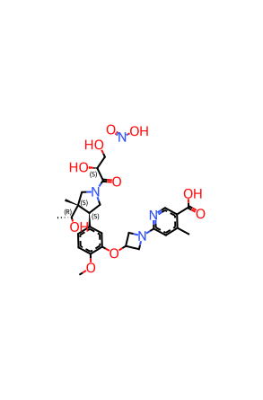 COc1ccc([C@@H]2CN(C(=O)[C@@H](O)CO)C[C@@]2(C)[C@@H](C)O)cc1OC1CN(c2cc(C)c(C(=O)O)cn2)C1.O=NO